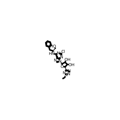 CCn1nnc([C@H]2O[C@@H](n3cnc4c(N[C@H](CO)Cc5ccccc5)nc(Cl)nc43)C(O)C2O)n1